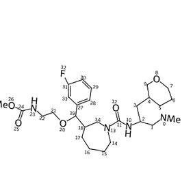 CNCC(CC1CCCOC1)NC(=O)N1CCCCC(C(OCCNC(=O)OC)c2cccc(F)c2)C1